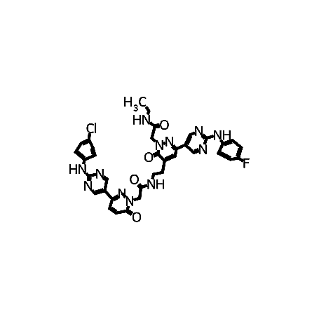 CCNC(=O)Cn1nc(-c2cnc(Nc3ccc(F)cc3)nc2)cc(CCNC(=O)Cn2nc(-c3cnc(Nc4ccc(Cl)cc4)nc3)ccc2=O)c1=O